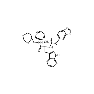 C[C@@](Cc1c[nH]c2ccccc12)(NC(=O)Oc1ccc2ncsc2c1)C(=O)NCC1(c2ccccn2)CCCCC1